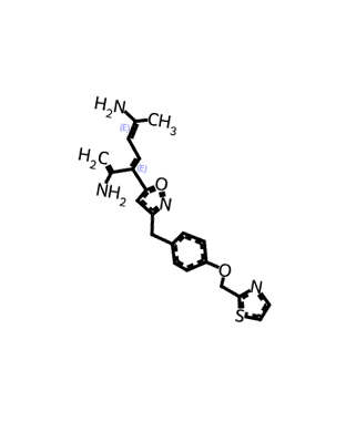 C=C(N)/C(=C\C=C(/C)N)c1cc(Cc2ccc(OCc3nccs3)cc2)no1